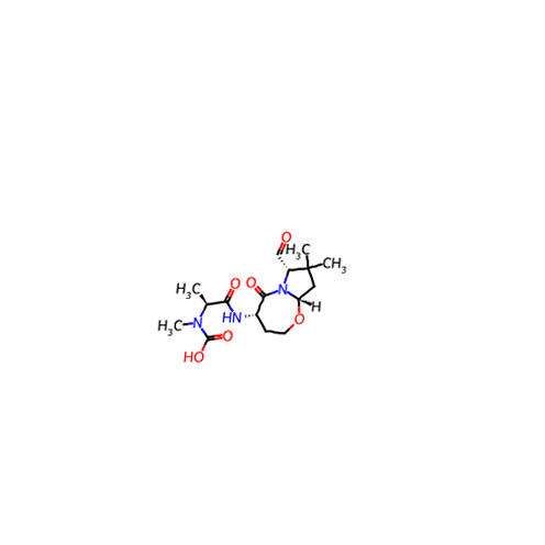 C[C@@H](C(=O)N[C@H]1CCO[C@H]2CC(C)(C)[C@@H](C=O)N2C1=O)N(C)C(=O)O